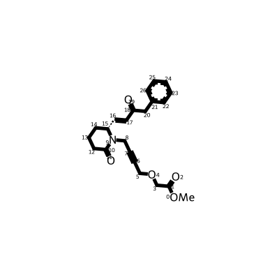 COC(=O)COCC#CCN1C(=O)CCC[C@@H]1/C=C/C(=O)Cc1ccccc1